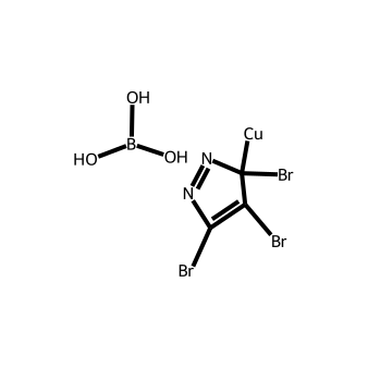 OB(O)O.[Cu][C]1(Br)N=NC(Br)=C1Br